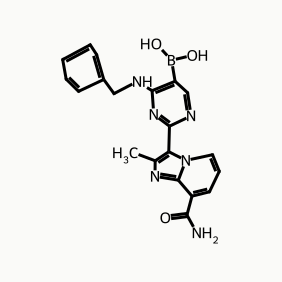 Cc1nc2c(C(N)=O)cccn2c1-c1ncc(B(O)O)c(NCc2ccccc2)n1